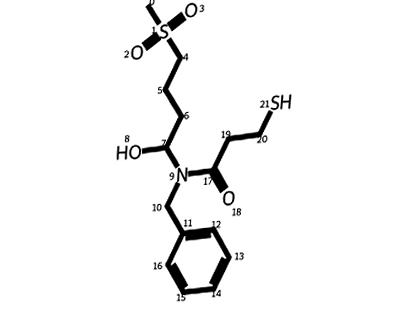 CS(=O)(=O)CCCC(O)N(Cc1ccccc1)C(=O)CCS